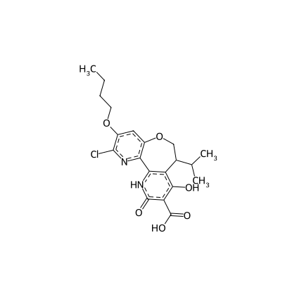 CCCCOc1cc2c(nc1Cl)-c1[nH]c(=O)c(C(=O)O)c(O)c1C(C(C)C)CO2